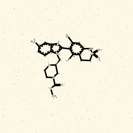 COC(=O)N1CCO[C@@H](Cn2c(-c3c(Cl)cc4c(c3F)CCS(=O)(=O)N4)nc3cc(C)ccc32)C1